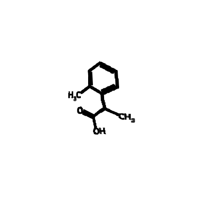 Cc1ccccc1C(C)C(=O)O